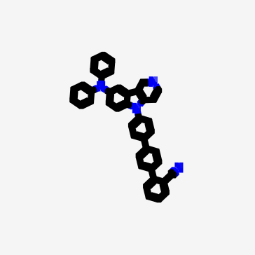 N#Cc1ccccc1-c1ccc(-c2ccc(-n3c4ccncc4c4cc(N(c5ccccc5)c5ccccc5)ccc43)cc2)cc1